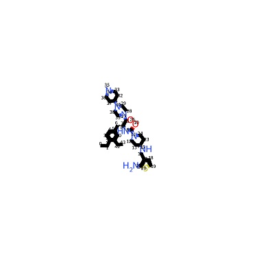 CCc1ccc(C[C@@H](NC(=O)N2CCC(NCc3ccsc3N)CC2)C(=O)N2CCN(C3CCN(C)CC3)CC2)cc1CC